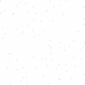 CCCN(CC1CSC1)C(C)C